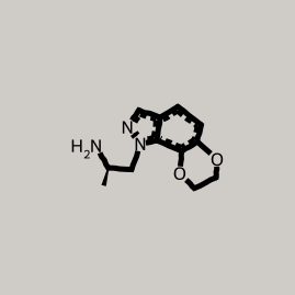 C[C@@H](N)Cn1ncc2ccc3c(c21)OCCO3